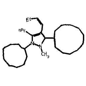 CC/C=C\C1=C(CCC)N(C2CCCCCCCC2)N(C)C1C1CCCCCCCCCC1